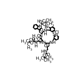 CN1C(=O)[C@H](CCNC(=O)OC(C)(C)C)NC(=O)[C@H](CCCNC(=O)OC(C)(C)C)NCc2cccnc2Sc2c(Cl)ccc(Br)c2CNC(=O)[C@@H]1Cc1cn(C(=O)OC(C)(C)C)c2ccccc12